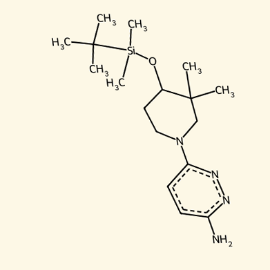 CC1(C)CN(c2ccc(N)nn2)CCC1O[Si](C)(C)C(C)(C)C